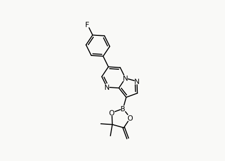 C=C1OB(c2cnn3cc(-c4ccc(F)cc4)cnc23)OC1(C)C